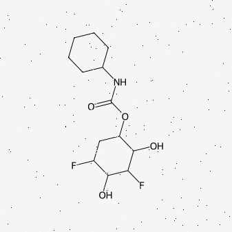 O=C(NC1CCCCC1)OC1CC(F)C(O)C(F)C1O